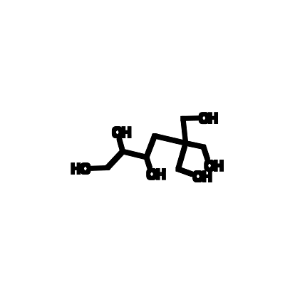 OCC(O)C(O)CC(CO)(CO)CO